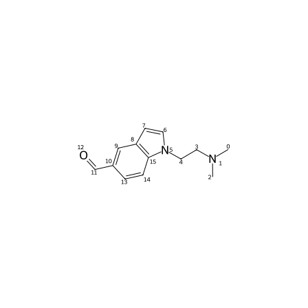 CN(C)CCn1ccc2cc(C=O)ccc21